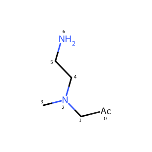 CC(=O)CN(C)CCN